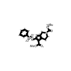 COC(=O)c1c(NS(=O)(=O)c2ccccc2)sc2c1CCN(C(=O)OC(C)(C)C)C2